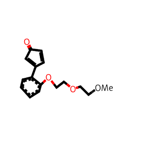 COCCOCCOc1ccccc1C1=CC(=O)C=C1